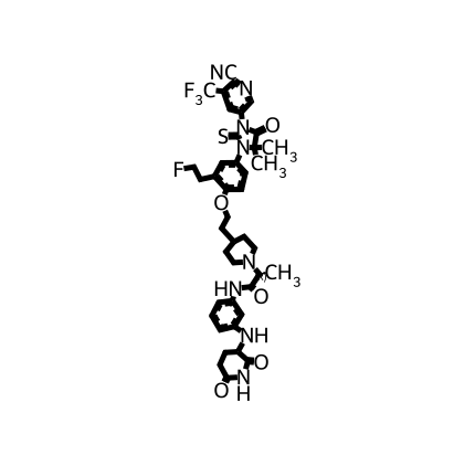 C[C@H](C(=O)Nc1cccc(NC2CCC(=O)NC2=O)c1)N1CCC(CCOc2ccc(N3C(=S)N(c4cnc(C#N)c(C(F)(F)F)c4)C(=O)C3(C)C)cc2CCF)CC1